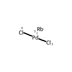 [Cl][Pd][Cl].[Rb]